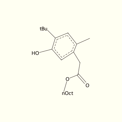 CCCCCCCCOC(=O)Cc1cc(O)c(C(C)(C)C)cc1C